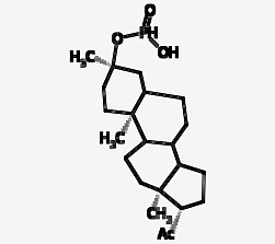 CC(=O)[C@H]1CCC2C3CCC4C[C@](C)(O[PH](=O)O)CC[C@]4(C)C3CC[C@@]21C